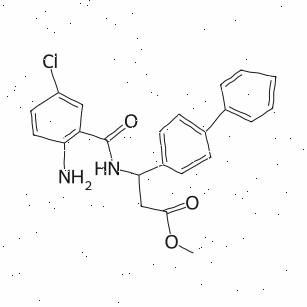 COC(=O)CC(NC(=O)c1cc(Cl)ccc1N)c1ccc(-c2ccccc2)cc1